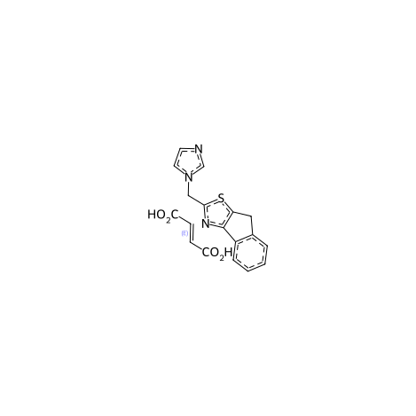 O=C(O)/C=C/C(=O)O.c1ccc2c(c1)Cc1sc(Cn3ccnc3)nc1-2